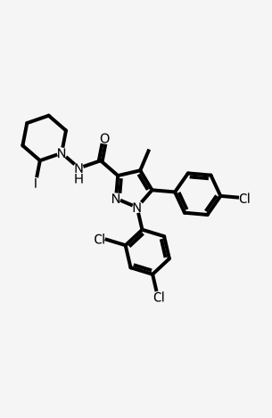 Cc1c(C(=O)NN2CCCCC2I)nn(-c2ccc(Cl)cc2Cl)c1-c1ccc(Cl)cc1